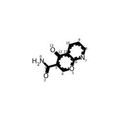 NC(=O)c1coc2ncccc2c1=O